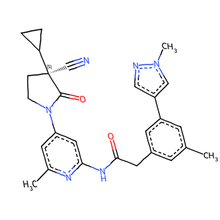 Cc1cc(CC(=O)Nc2cc(N3CC[C@@](C#N)(C4CC4)C3=O)cc(C)n2)cc(-c2cnn(C)c2)c1